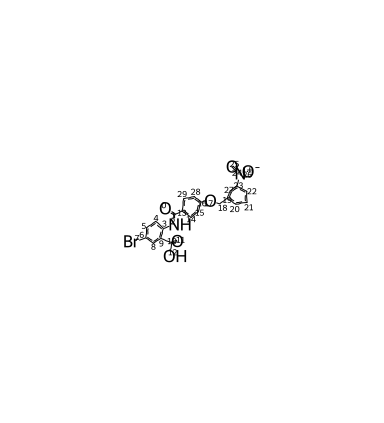 O=C(Nc1ccc(Br)cc1C(=O)O)c1ccc(OCc2cccc([N+](=O)[O-])c2)cc1